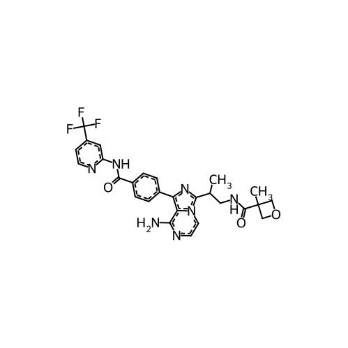 CC(CNC(=O)C1(C)COC1)c1nc(-c2ccc(C(=O)Nc3cc(C(F)(F)F)ccn3)cc2)c2c(N)nccn12